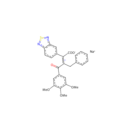 COc1cc(C(=O)/C(Cc2ccccc2)=C(/C(=O)[O-])c2ccc3nsnc3c2)cc(OC)c1OC.[Na+]